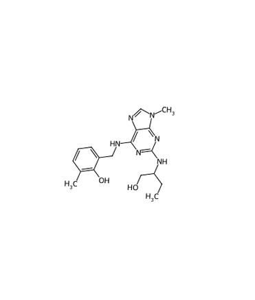 CCC(CO)Nc1nc(NCc2cccc(C)c2O)c2ncn(C)c2n1